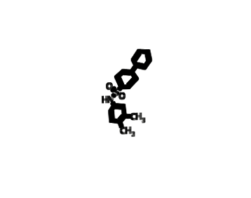 Cc1ccc(NS(=O)(=O)c2ccc(-c3ccccc3)cc2)cc1C